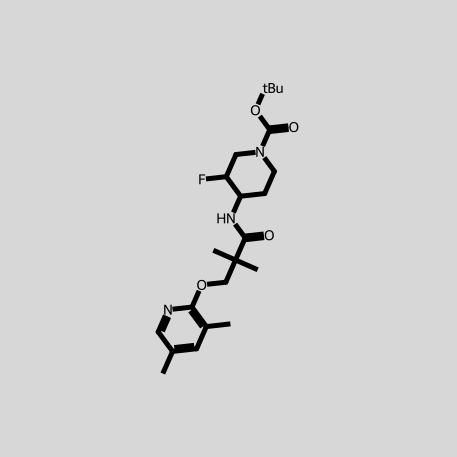 Cc1cnc(OCC(C)(C)C(=O)NC2CCN(C(=O)OC(C)(C)C)CC2F)c(C)c1